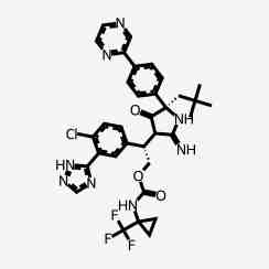 CC(C)(C)C[C@]1(c2ccc(-c3cnccn3)cc2)NC(=N)C([C@H](COC(=O)NC2(C(F)(F)F)CC2)c2ccc(Cl)c(-c3ncn[nH]3)c2)C1=O